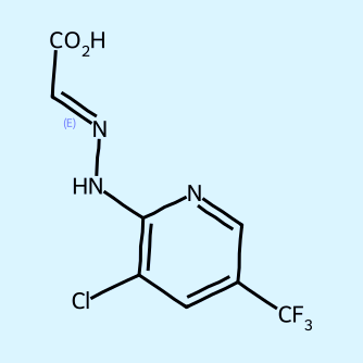 O=C(O)/C=N/Nc1ncc(C(F)(F)F)cc1Cl